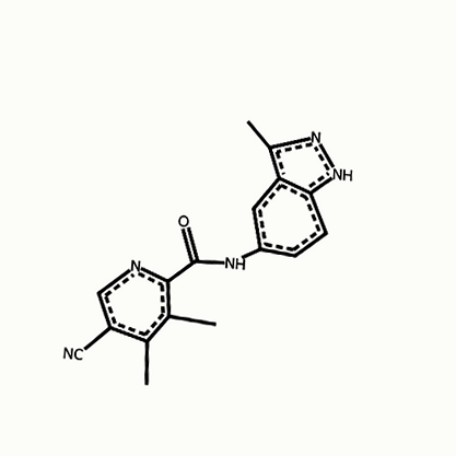 Cc1c(C#N)cnc(C(=O)Nc2ccc3[nH]nc(C)c3c2)c1C